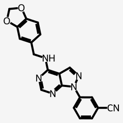 N#Cc1cccc(-n2ncc3c(NCc4ccc5c(c4)OCO5)ncnc32)c1